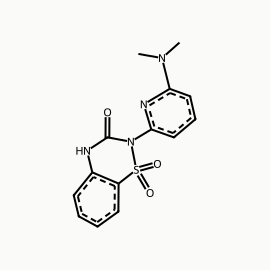 CN(C)c1cccc(N2C(=O)Nc3ccccc3S2(=O)=O)n1